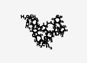 C=C1C2C(CCc3cc4c(cc3-c3cccc[n+]31)c1c3c(cc5c6cc(C(C)(C)C)ccc6n4c51)oc1ccc(C(C)(C)C)cc13)c1ccccc1-c1cccc[n+]12